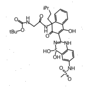 CC(C)CCC1(NC(=O)CNC(=O)OC(C)(C)C)C(=O)C(C2=NS(O)(O)c3cc(NS(C)(=O)=O)ccc3N2)=C(O)c2ccccc21